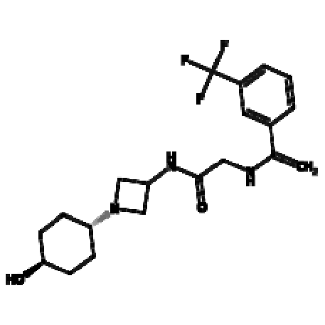 C=C(NCC(=O)NC1CN([C@H]2CC[C@H](O)CC2)C1)c1cccc(C(F)(F)F)c1